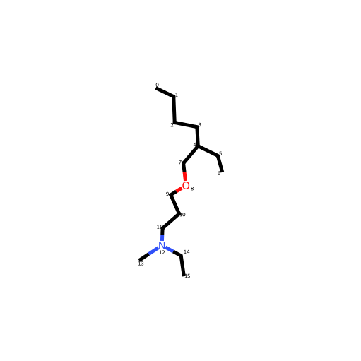 CCCCC(CC)COCCCN(C)CC